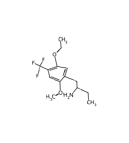 CCOc1cc(CC(N)CC)c(OC)cc1C(F)(F)F